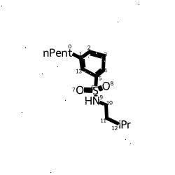 [CH2]CCCCc1cccc(S(=O)(=O)NCCC(C)C)c1